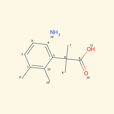 Cc1cccc(C(C)(C)C(=O)O)c1C.N